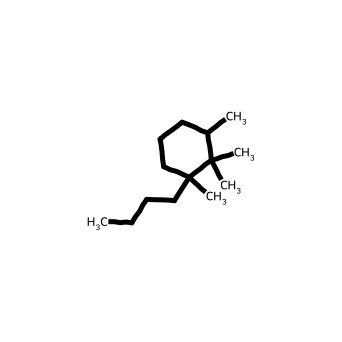 CCCCC1(C)CCCC(C)C1(C)C